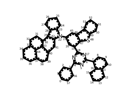 c1ccc(-c2nc(-c3cccc4ccccc34)nc(-c3cc(-n4c5ccccc5c5c6ccc7cccc8ccc(cc54)c6c87)cc4c3sc3ccccc34)n2)cc1